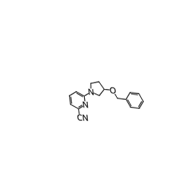 N#Cc1cccc(N2CCC(OCc3ccccc3)C2)n1